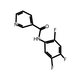 O=C(Nc1cc(F)c(F)cc1F)c1cccnc1